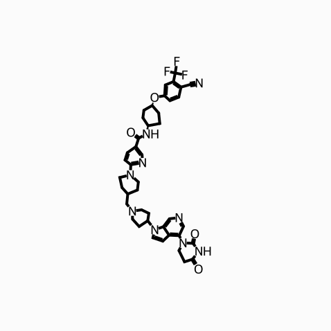 N#Cc1ccc(O[C@H]2CC[C@H](NC(=O)c3ccc(N4CCC(CN5CCC(n6ccc7c(N8CCC(=O)NC8=O)cncc76)CC5)CC4)nc3)CC2)cc1C(F)(F)F